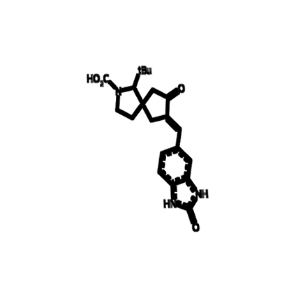 CC(C)(C)C1N(C(=O)O)CCC12CC(=O)C(=Cc1ccc3[nH]c(=O)[nH]c3c1)C2